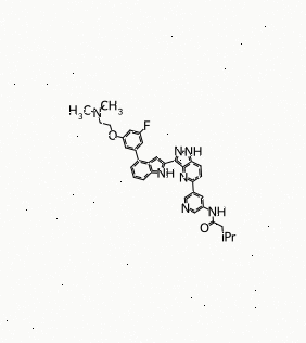 CC(C)CC(=O)Nc1cncc(-c2ccc3[nH]nc(-c4cc5c(-c6cc(F)cc(OCCN(C)C)c6)cccc5[nH]4)c3n2)c1